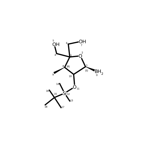 B[C@@H]1OC(CO)(CO)[C@H](C)C1O[Si](C)(C)C(C)(C)C